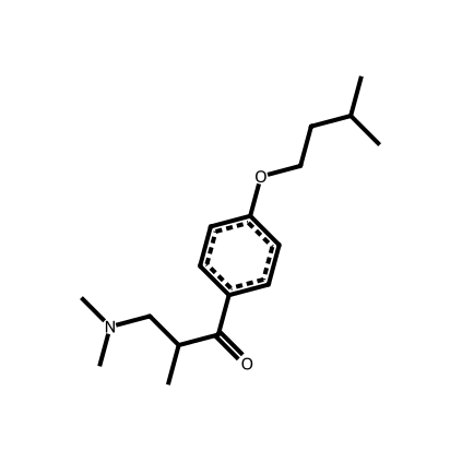 CC(C)CCOc1ccc(C(=O)C(C)CN(C)C)cc1